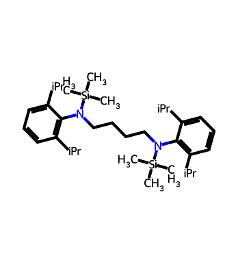 CC(C)c1cccc(C(C)C)c1N(CCCCN(c1c(C(C)C)cccc1C(C)C)[Si](C)(C)C)[Si](C)(C)C